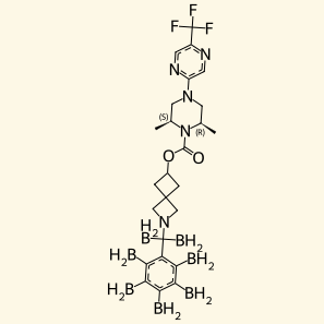 Bc1c(B)c(B)c(C(B)(B)N2CC3(CC(OC(=O)N4[C@H](C)CN(c5cnc(C(F)(F)F)cn5)C[C@@H]4C)C3)C2)c(B)c1B